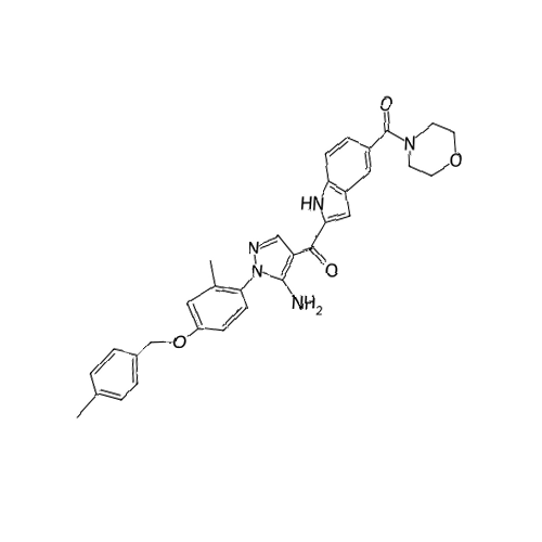 Cc1ccc(COc2ccc(-n3ncc(C(=O)c4cc5cc(C(=O)N6CCOCC6)ccc5[nH]4)c3N)c(C)c2)cc1